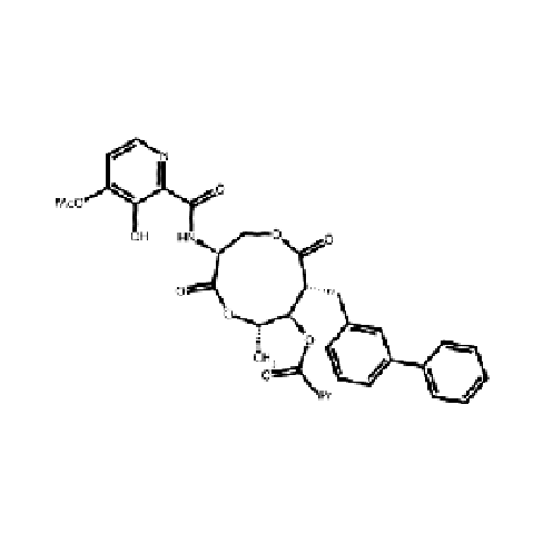 COc1ccnc(C(=O)N[C@H]2COC(=O)[C@H](Cc3cccc(-c4ccccc4)c3)[C@@H](OC(=O)C(C)C)[C@H](C)OC2=O)c1O